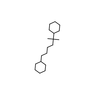 CC(C)([CH]CCCC1CCCCC1)C1CCCCC1